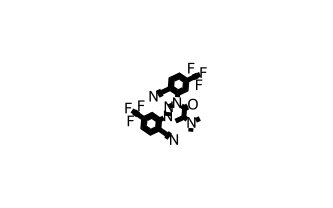 CC(C(=O)N(N=Nc1cc(C(F)(F)F)ccc1C#N)c1cc(C(F)(F)F)ccc1C#N)N(C)C